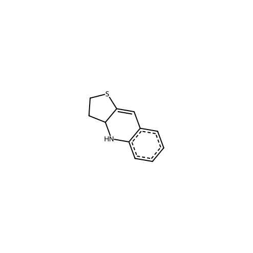 C1=C2SCCC2Nc2ccccc21